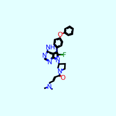 CN(C)CC=CC(=O)N1CCC(n2c(F)c(-c3ccc(Oc4ccccc4)cc3)c3c(N)ncnc32)C1